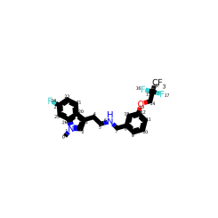 Cn1cc(CCNCc2cccc(OCC(F)(F)C(F)(F)F)c2)c2ccc(F)cc21